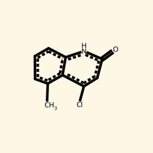 Cc1cccc2[nH]c(=O)cc(Cl)c12